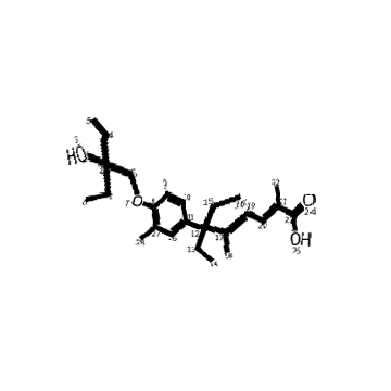 CCC(O)(CC)COc1ccc(C(CC)(CC)/C(C)=C/C=C(\C)C(=O)O)cc1C